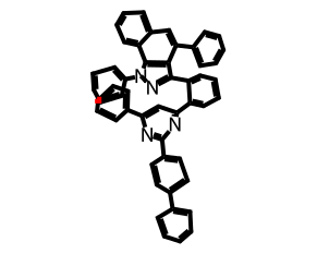 c1ccc(-c2ccc(-c3nc(-c4ccccc4)cc(-c4ccccc4-c4nn(-c5ccccc5)c5c4c(-c4ccccc4)cc4ccccc45)n3)cc2)cc1